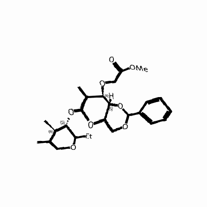 CCC1OCC(C)[C@@H](C)[C@@H]1OC1OC2COC(c3ccccc3)O[C@H]2[C@H](OCC(=O)OC)C1C